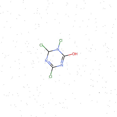 OC1=NC(Cl)=NC(Cl)N1Cl